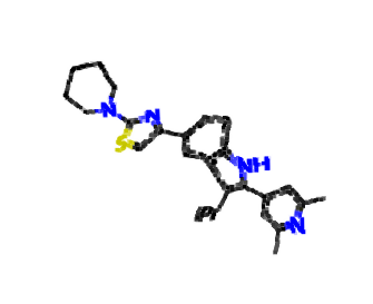 Cc1cc(-c2[nH]c3ccc(-c4csc(N5CCCCC5)n4)cc3c2C(C)C)cc(C)n1